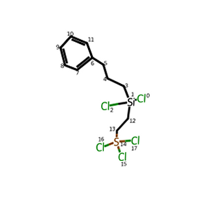 Cl[Si](Cl)(CCCc1ccccc1)CCS(Cl)(Cl)Cl